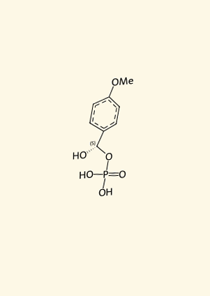 COc1ccc([C@@H](O)OP(=O)(O)O)cc1